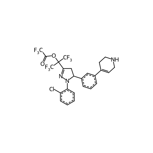 O=C(OC(C1=NN(c2ccccc2Cl)C(c2cccc(C3=CCNCC3)c2)C1)(C(F)(F)F)C(F)(F)F)C(F)(F)F